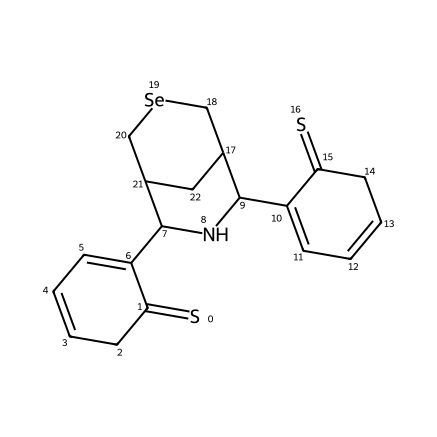 S=C1CC=CC=C1C1NC(C2=CC=CCC2=S)C2C[Se]CC1C2